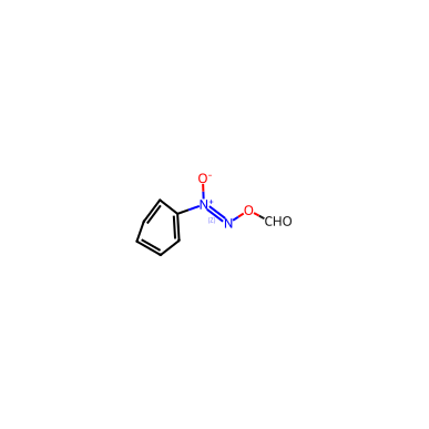 O=CO/N=[N+](\[O-])c1ccccc1